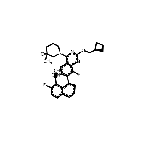 C#Cc1c(F)ccc2cccc(-c3c([N+](=O)[O-])cc4c(N5CCC[C@@](C)(O)C5)nc(OCC56CC(C5)C6)nc4c3F)c12